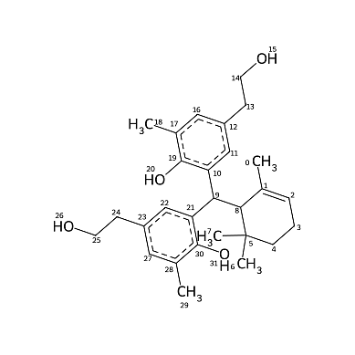 CC1=CCCC(C)(C)C1C(c1cc(CCO)cc(C)c1O)c1cc(CCO)cc(C)c1O